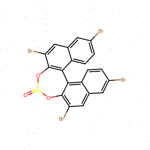 O=S1Oc2c(Br)cc3cc(Br)ccc3c2-c2c(c(Br)cc3cc(Br)ccc23)O1